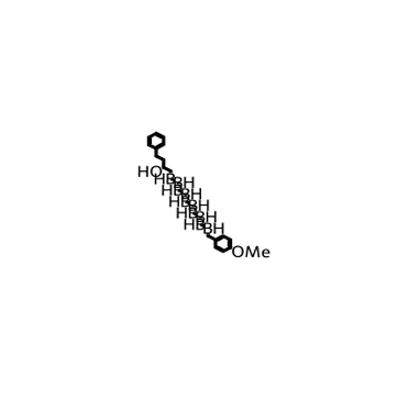 COc1ccc(CBBBBBBBBBBCC(O)CCc2ccccc2)cc1